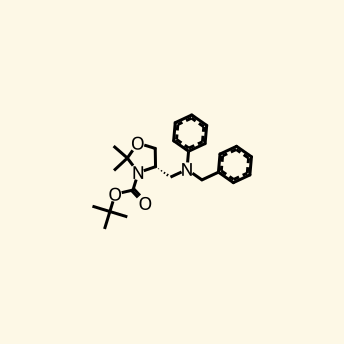 CC(C)(C)OC(=O)N1[C@@H](CN(Cc2ccccc2)c2ccccc2)COC1(C)C